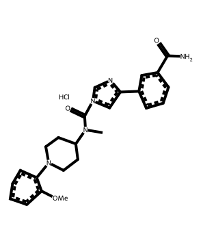 COc1ccccc1N1CCC(N(C)C(=O)n2cnc(-c3cccc(C(N)=O)c3)c2)CC1.Cl